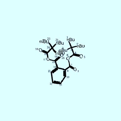 CCCCC(CCCC)(CCCC)C(=O)OC(=O)c1ccccc1C(=O)OC(=O)C(CCCC)(CCCC)CCCC